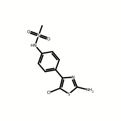 CS(=O)(=O)Nc1ccc(-c2nc(N)sc2Cl)cc1